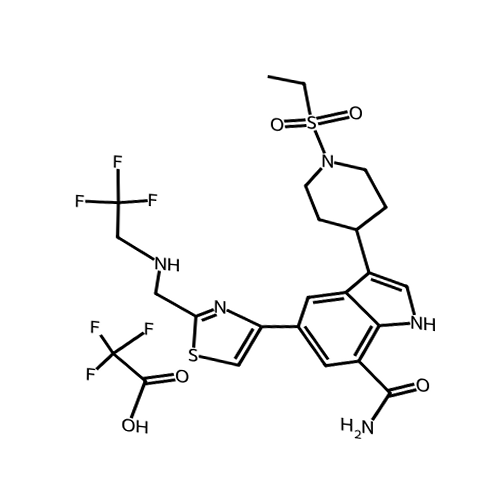 CCS(=O)(=O)N1CCC(c2c[nH]c3c(C(N)=O)cc(-c4csc(CNCC(F)(F)F)n4)cc23)CC1.O=C(O)C(F)(F)F